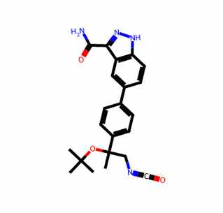 CC(C)(C)OC(C)(CN=C=O)c1ccc(-c2ccc3[nH]nc(C(N)=O)c3c2)cc1